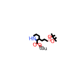 CC(C)(C)OC(=O)C1NCCCC1CCCB1OC(C)(C)C(C)(C)O1